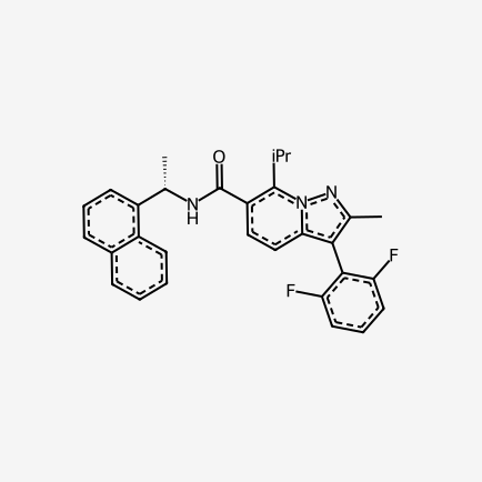 Cc1nn2c(C(C)C)c(C(=O)N[C@@H](C)c3cccc4ccccc34)ccc2c1-c1c(F)cccc1F